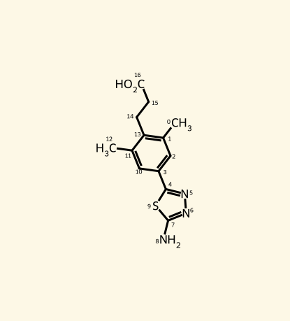 Cc1cc(-c2nnc(N)s2)cc(C)c1CCC(=O)O